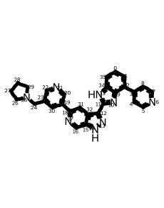 c1cc(-c2ccncc2)c2nc(-c3n[nH]c4cnc(-c5cncc(CN6CCCC6)c5)cc34)[nH]c2c1